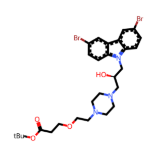 CC(C)(C)OC(=O)CCOCCN1CCN(C[C@@H](O)Cn2c3ccc(Br)cc3c3cc(Br)ccc32)CC1